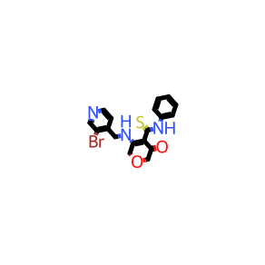 O=C1COCC(NCc2ccncc2Br)=C1C(=S)Nc1ccccc1